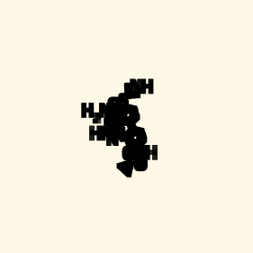 NS(=O)(=O)c1c(SC2CNC2)ccc(-c2ccc(NS(=O)(=O)C3CC3)cc2)c1-c1nn[nH]n1